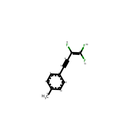 Cc1ccc(C#CC(F)=C(F)F)cc1